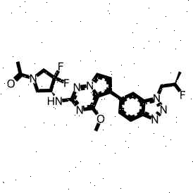 COc1nc(N[C@@H]2CN(C(C)=O)CC2(F)F)nn2ccc(-c3ccc4nnn(C[C@@H](C)F)c4c3)c12